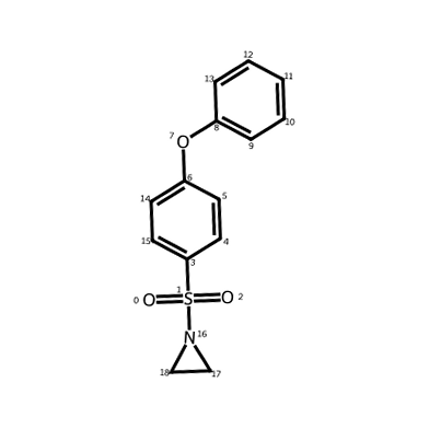 O=S(=O)(c1ccc(Oc2ccccc2)cc1)N1CC1